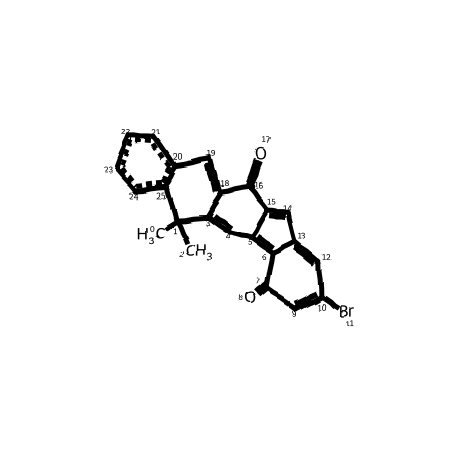 CC1(C)C2=CC3=C4C(=O)C=C(Br)C=C4C=C3C(=O)C2=Cc2ccccc21